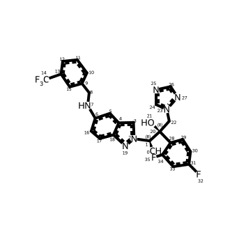 C[C@@H](n1cc2cc(NCc3cccc(C(F)(F)F)c3)ccc2n1)[C@](O)(Cn1cncn1)c1ccc(F)cc1F